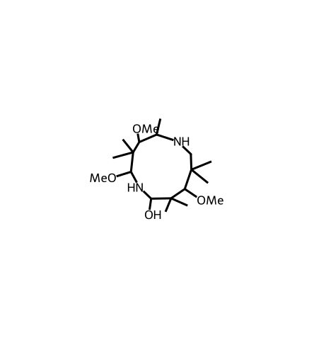 COC1NC(O)C(C)(C)C(OC)C(C)(C)CNC(C)C(OC)C1(C)C